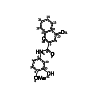 COc1ccc(NC(=O)c2cc(=O)c3ccccc3o2)cc1O